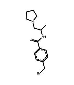 CC(CN1CCCC1)NC(=O)c1ccc(CBr)cc1